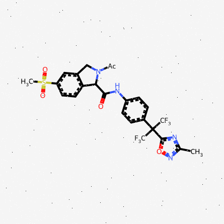 CC(=O)N1Cc2cc(S(C)(=O)=O)ccc2C1C(=O)Nc1ccc(C(c2nc(C)no2)(C(F)(F)F)C(F)(F)F)cc1